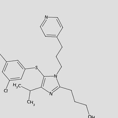 CC(C)c1nc(CCCO)n(CCCc2ccncc2)c1Sc1cc(Cl)cc(Cl)c1